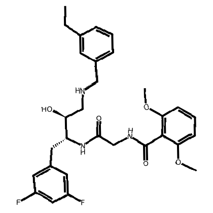 CCc1cccc(CNC[C@H](O)[C@@H](Cc2cc(F)cc(F)c2)NC(=O)CNC(=O)c2c(OC)cccc2OC)c1